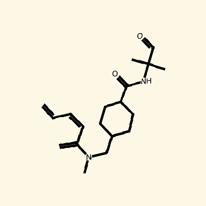 C=C/C=C\C(=C)N(C)CC1CCC(C(=O)NC(C)(C)C=O)CC1